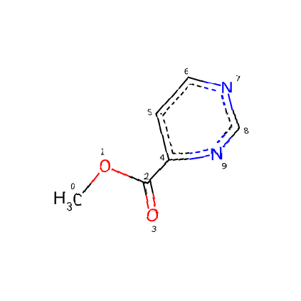 COC(=O)c1[c]cncn1